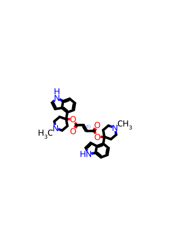 CN1CCC(OC(=O)/C=C/C(=O)OC2(c3cccc4[nH]ccc34)CCN(C)CC2)(c2cccc3[nH]ccc23)CC1